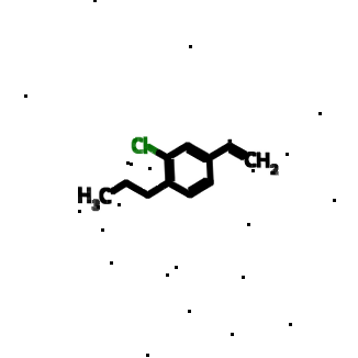 C=[C]c1ccc(CCC)c(Cl)c1